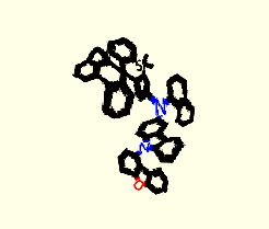 C[Si]1(C)c2ccccc2C2(c3ccccc3-c3cccc4cccc2c34)c2ccc(N(c3ccc4c(c3)c3ccccc3n4-c3cccc4oc5ccccc5c34)c3cccc4ccccc34)cc21